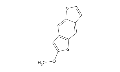 COc1cc2cc3sccc3cc2s1